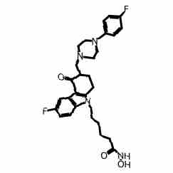 O=C(CCCCCn1c2c(c3cc(F)ccc31)C(=O)C(CN1CCN(c3ccc(F)cc3)CC1)CC2)NO